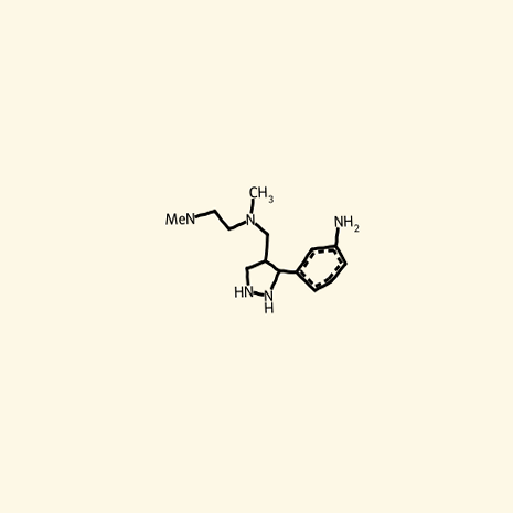 CNCCN(C)CC1CNNC1c1cccc(N)c1